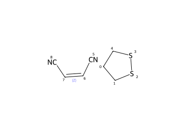 C1CSSC1.N#C/C=C\C#N